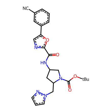 CC(C)(C)OC(=O)N1CC(NC(=O)c2ncc(-c3cccc(C#N)c3)o2)CC1Cn1cccn1